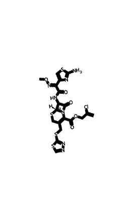 C=C(Cl)COC(=O)C1=C(CSc2nncs2)CS[C@H]2C(NC(=O)C(=NOC)c3csc(N)n3)C(=O)N12